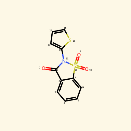 O=C1c2ccccc2S(=O)(=O)N1c1cccs1